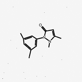 Cc1cc(C)cc(-n2c(=O)cc(C)n2C)c1